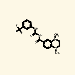 CN1CCN(C)c2cc(C(=O)NC(=O)Nc3cccc(C(F)(F)F)c3)ccc21